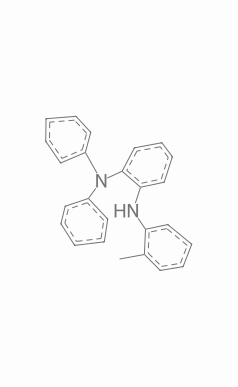 Cc1ccccc1Nc1ccccc1N(c1ccccc1)c1ccccc1